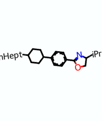 CCCCCCCC1CCC(c2ccc(C3=NC(C(C)C)CO3)cc2)CC1